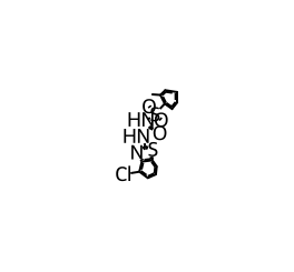 Cc1ccccc1S(=O)(=O)NC(=O)Nc1nc2c(Cl)cccc2s1